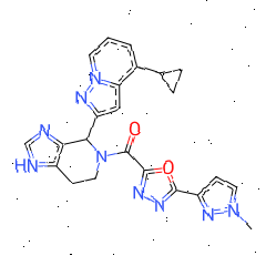 Cn1ccc(-c2nnc(C(=O)N3CCc4[nH]cnc4C3c3cc4c(C5CC5)cccn4n3)o2)n1